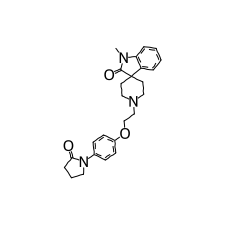 CN1C(=O)C2(CCN(CCOc3ccc(N4CCCC4=O)cc3)CC2)c2ccccc21